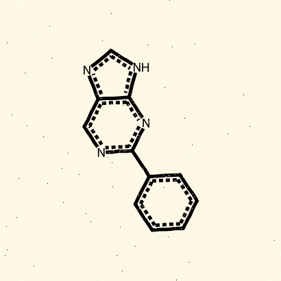 c1ccc(-c2ncc3nc[nH]c3n2)cc1